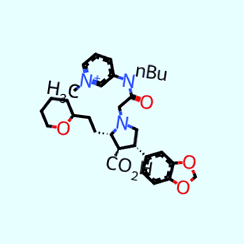 CCCCN(C(=O)CN1C[C@H](c2ccc3c(c2)OCO3)[C@@H](C(=O)O)[C@@H]1CCC1CCCCO1)c1ccc[n+](C)c1